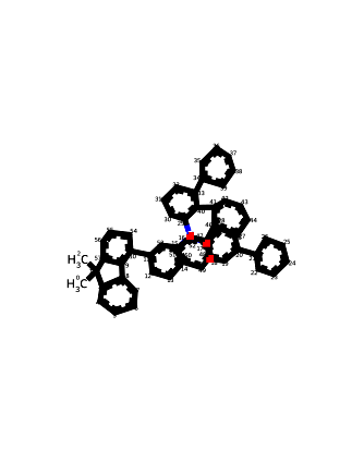 CC1(C)c2ccccc2-c2c(-c3cccc(N(c4ccc(-c5ccccc5)cc4)c4cccc(-c5ccccc5)c4-c4ccccc4-c4ccccc4)c3)cccc21